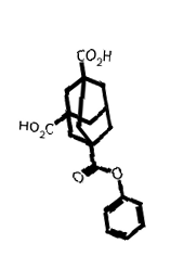 O=C(O)C12CC3CC(C(=O)O)(C1)CC(C(=O)Oc1ccccc1)(C3)C2